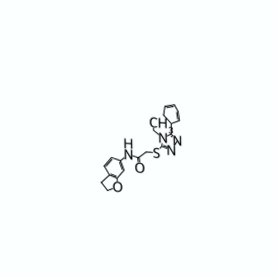 CCn1c(SCC(=O)Nc2ccc3c(c2)OCC3)nnc1C1C=CC=CC1